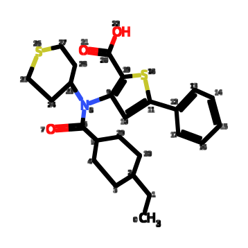 CCC1CCC(C(=O)N(c2cc(-c3ccccc3)sc2C(=O)O)C2CCSCC2)CC1